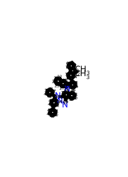 CC1(C)c2ccccc2-c2ccc(-c3cccc4c3c3cc5ccccc5cc3n4-c3cc(-c4nc(-c5ccccc5)c5ccc(-c6ccccc6)cc5n4)c(C#N)c4ccccc34)cc21